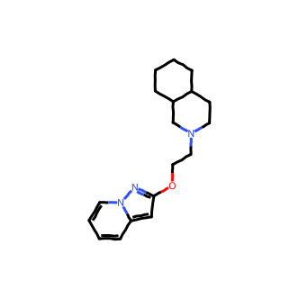 c1ccn2nc(OCCN3CCC4CCCCC4C3)cc2c1